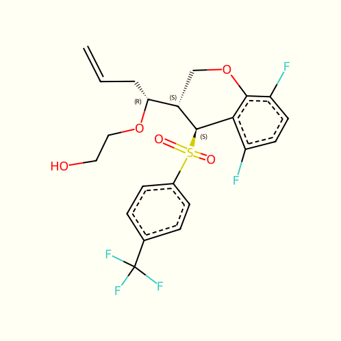 C=CC[C@@H](OCCO)[C@@H]1COc2c(F)ccc(F)c2[C@H]1S(=O)(=O)c1ccc(C(F)(F)F)cc1